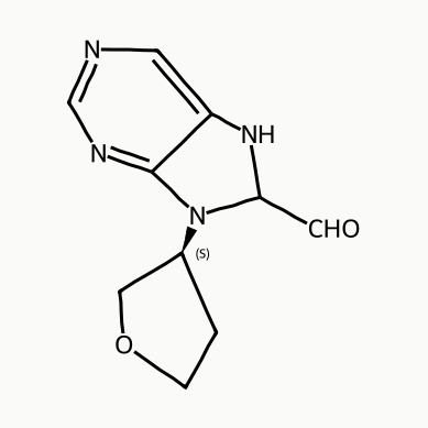 O=CC1Nc2cncnc2N1[C@H]1CCOC1